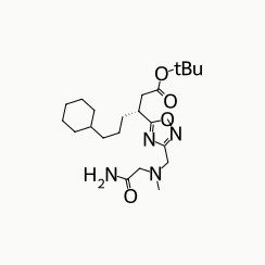 CN(CC(N)=O)Cc1noc([C@H](CCCC2CCCCC2)CC(=O)OC(C)(C)C)n1